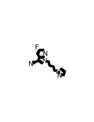 N#Cc1cn(CCCCn2cccn2)c2ncc(F)cc12